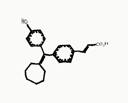 O=C(O)/C=C/c1ccc(C(=C2CCCCCC2)c2ccc(O)cc2)cc1